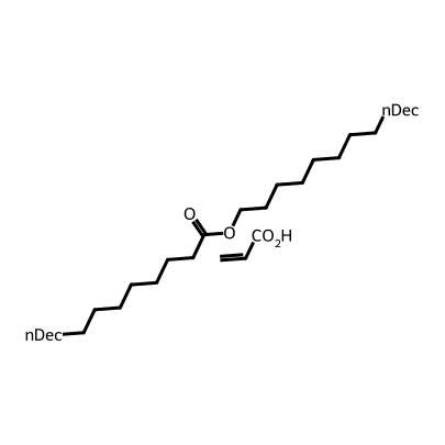 C=CC(=O)O.CCCCCCCCCCCCCCCCCCOC(=O)CCCCCCCCCCCCCCCCC